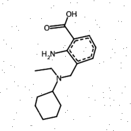 CCN(Cc1cccc(C(=O)O)c1N)C1CCCCC1